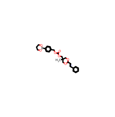 CC1(COC(=O)OCc2ccc(B3OCCCO3)cc2)COC(/C=C/c2ccccc2)OC1